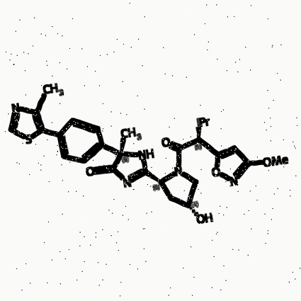 COc1cc([C@@H](C(=O)N2C[C@H](O)C[C@H]2C2=NC(=O)[C@](C)(c3ccc(-c4scnc4C)cc3)N2)C(C)C)on1